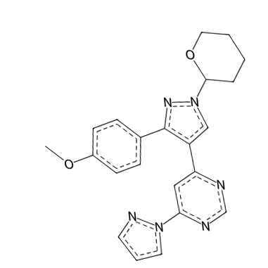 COc1ccc(-c2nn(C3CCCCO3)cc2-c2cc(-n3cccn3)ncn2)cc1